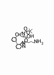 CC(C)(C)OC(=O)N1C[C@@H](Oc2cccc(-c3cccc4nn(CCCCN)cc34)c2)C[C@H]1C(=O)O